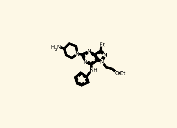 CCOCCn1nc(CC)c2nc(N3CCC(N)CC3)nc(Nc3ccccc3)c21